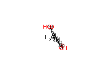 C=CC.O=C(O)CCCCCCCCCCCCCCCC(=O)O